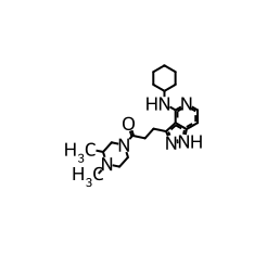 CC1CN(C(=O)CCc2n[nH]c3ccnc(NC4CCCCC4)c23)CCN1C